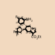 CCOC(=O)c1cnn2ccc(N3CC(F)(F)C[C@@H]3c3cc(N)cc(F)c3)cc12